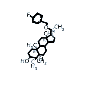 C[C@@H](OCc1ccc(F)cc1)[C@H]1CC=C2C3=C(CC[C@@]21C)[C@@]1(C)CC[C@H](O)C(C)(C)[C@@H]1CC3